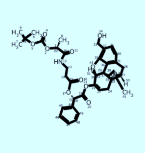 C[C@H](OC(=O)OC(C)(C)C)C(=O)NCCC(=O)O[C@H](C(=O)OC1=CC[C@@]2(O)[C@H]3Cc4ccc(CO)c5c4[C@@]2(CCN3C)[C@H]1O5)c1ccccc1